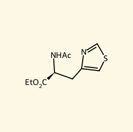 CCOC(=O)[C@H](Cc1cscn1)NC(C)=O